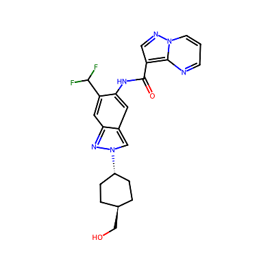 O=C(Nc1cc2cn([C@H]3CC[C@H](CO)CC3)nc2cc1C(F)F)c1cnn2cccnc12